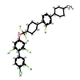 CC1CCC(c2ccc(C3CCC(C(F)(F)Oc4cc(F)c(-c5ccc(Cl)c(F)c5)c(F)c4)CC3)c(F)c2)CC1